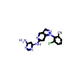 N#Cc1cccc(F)c1-n1ncc2cnc(Nc3cc(N)ncn3)cc21